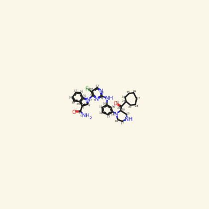 NC(=O)c1cn(-c2nc(Nc3cccc(N4CCNCC4C(=O)C4CCCCCC4)c3)ncc2F)c2ccccc12